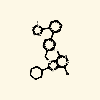 Brc1nnc(Br)c2c1nc(C1CCCCC1)n2Cc1ccc(-c2ccccc2-c2nnn[nH]2)cc1